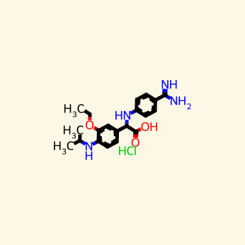 CCOc1cc(C(Nc2ccc(C(=N)N)cc2)C(=O)O)ccc1NC(C)C.Cl